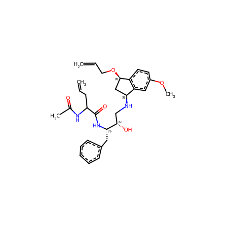 C=CCO[C@@H]1C[C@H](NC[C@H](O)[C@H](Cc2ccccc2)NC(=O)C(CC=C)NC(C)=O)c2cc(OC)ccc21